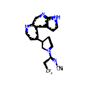 N#CN=C(CC(F)(F)F)N1CCC(c2ccnc3cnc4[nH]ccc4c23)C1